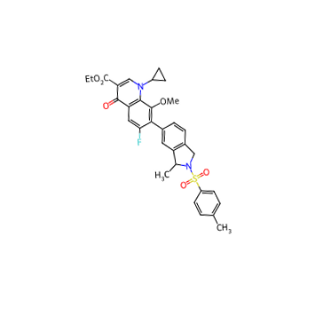 CCOC(=O)c1cn(C2CC2)c2c(OC)c(-c3ccc4c(c3)C(C)N(S(=O)(=O)c3ccc(C)cc3)C4)c(F)cc2c1=O